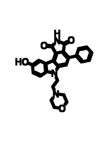 O=C1NC(=O)c2c1c(-c1ccccc1)cc1c2c2cc(O)ccc2n1CCN1CCOCC1